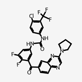 O=C(Nc1cc(F)c(F)c(C(=O)c2ccc3ncc(N4CCCC4)nc3c2)c1)Nc1ccc(Cl)c(C(F)(F)F)c1